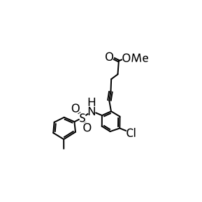 COC(=O)CCC#Cc1cc(Cl)ccc1NS(=O)(=O)c1cccc(C)c1